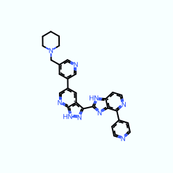 c1cc(-c2nccc3[nH]c(-c4n[nH]c5ncc(-c6cncc(CN7CCCCC7)c6)cc45)nc23)ccn1